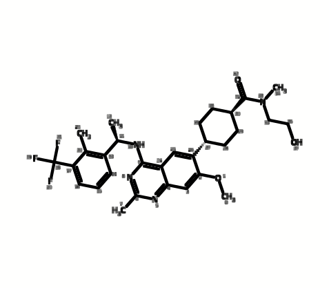 COc1cc2nc(C)nc(N[C@H](C)c3cccc(C(F)(F)F)c3C)c2cc1[C@H]1CC[C@H](C(=O)N(C)CCO)CC1